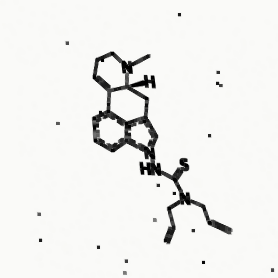 C=CCN(CC=C)C(=S)Nn1cc2c3c(cccc31)C1=CCCN(C)[C@@H]1C2